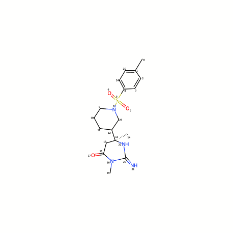 Cc1ccc(S(=O)(=O)N2CCCC([C@]3(C)CC(=O)N(C)C(=N)N3)C2)cc1